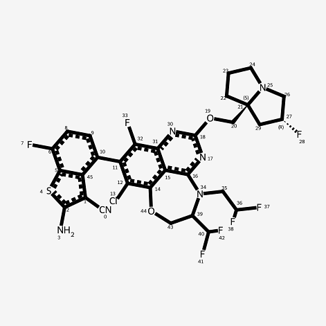 N#Cc1c(N)sc2c(F)ccc(-c3c(Cl)c4c5c(nc(OC[C@@]67CCCN6C[C@H](F)C7)nc5c3F)N(CC(F)F)C(C(F)F)CO4)c12